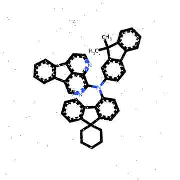 CC1(C)c2ccccc2-c2ccc(N(c3cccc4c3-c3ccccc3C43CCCCC3)c3ncc4c5c(ccnc35)-c3ccccc3-4)cc21